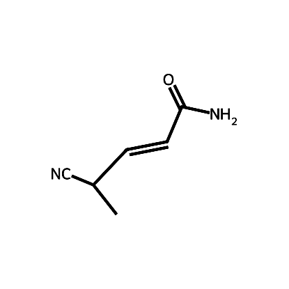 CC(C#N)C=CC(N)=O